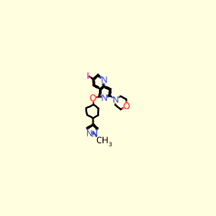 Cn1cc(C2CCC(Oc3nc(N4CCOCC4)cc4ncc(I)cc34)CC2)cn1